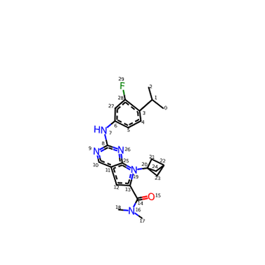 CC(C)c1ccc(Nc2ncc3cc(C(=O)N(C)C)n(C45CC(C4)C5)c3n2)cc1F